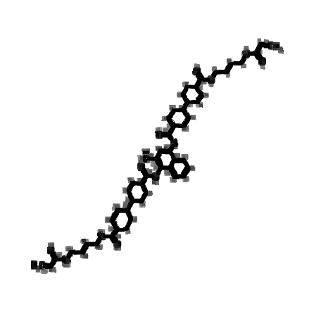 C=CC(=O)OCCCCOC(=O)C1CCC(C2CCC(C(=O)Oc3cc(C)c(OC(=O)C4CCC(C5CCC(C(=O)OCCCCOC(=O)C=C)CC5)CC4)c4ccccc34)CC2)CC1